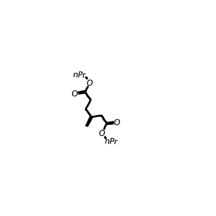 C=C(CCC(=O)OCCC)CC(=O)OCCC